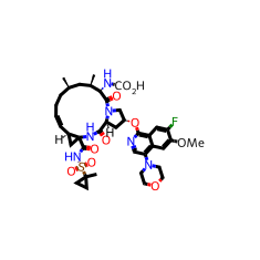 COc1cc2c(N3CCOCC3)cnc(O[C@@H]3C[C@H]4C(=O)NC5(C(=O)NS(=O)(=O)C6(C)CC6)C[C@H]5/C=C\CC[C@@H](C)C[C@@H](C)[C@H](NC(=O)O)C(=O)N4C3)c2cc1F